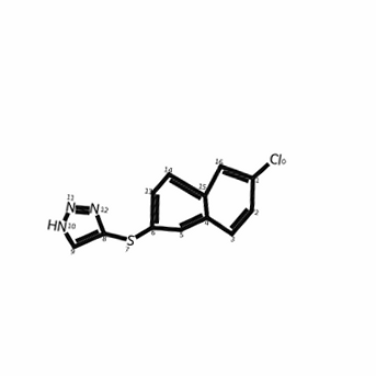 Clc1ccc2cc(Sc3c[nH]nn3)ccc2c1